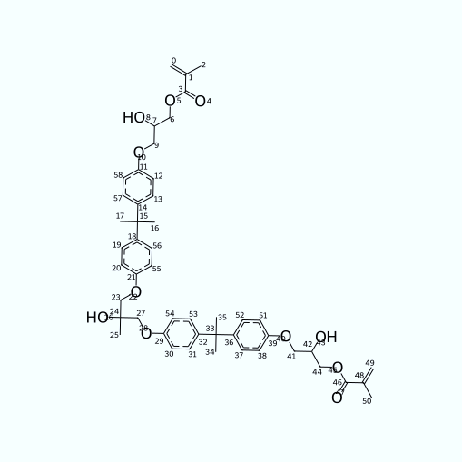 C=C(C)C(=O)OCC(O)COc1ccc(C(C)(C)c2ccc(OCC(C)(O)COc3ccc(C(C)(C)c4ccc(OCC(O)COC(=O)C(=C)C)cc4)cc3)cc2)cc1